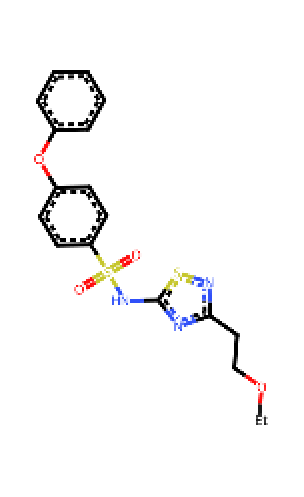 CCOCCc1nsc(NS(=O)(=O)c2ccc(Oc3ccccc3)cc2)n1